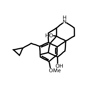 COc1cc(CC2CC2)c2c(c1)C13CCNC(C2)C1(O)CC(C)C(O)C3